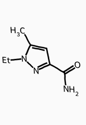 CCn1nc(C(N)=O)cc1C